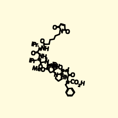 CC[C@H](C)[C@@H]([C@@H](CC(=O)N1CCC[C@H]1[C@H](OC)[C@@H](C)C(=O)N[C@@H](Cc1ccccc1)C(=O)O)OC)N(C)C(=O)[C@@H](NC(=O)[C@@H](NC(=O)CCCCCN1C(=O)C=CC1=O)C(C)C)C(C)C